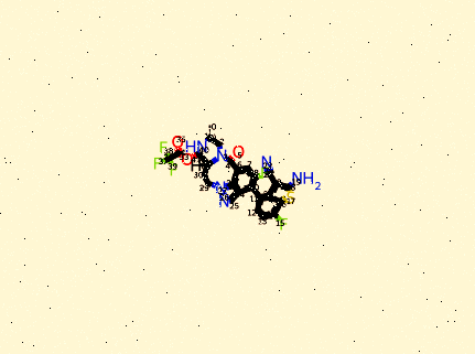 C[C@@H]1CN2C(=O)c3cc(F)c(-c4ccc(F)c5sc(N)c(C#N)c45)c4cnn(c34)CC[C@@H]2C(OC(=O)C(F)(F)F)N1